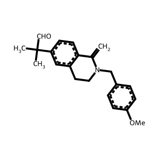 C=C1c2ccc(C(C)(C)C=O)cc2CCN1Cc1ccc(OC)cc1